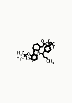 CCCC(c1ccc(C(F)(F)F)cc1)n1c2c(c3c(OC(C)(C)C)cccc31)CCCC2CC(=O)O